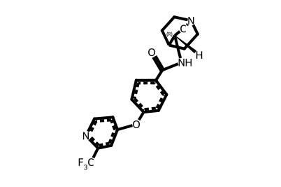 O=C(N[C@H]1CN2CCC1CC2)c1ccc(Oc2ccnc(C(F)(F)F)c2)cc1